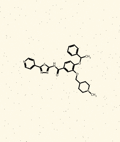 CC(Oc1ccc(C(=O)Nc2nnc(-c3ccncc3)s2)cc1OCC1CCN(C)CC1)c1ccccc1